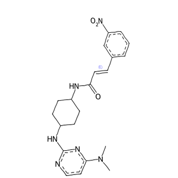 CN(C)c1ccnc(NC2CCC(NC(=O)/C=C/c3cccc([N+](=O)[O-])c3)CC2)n1